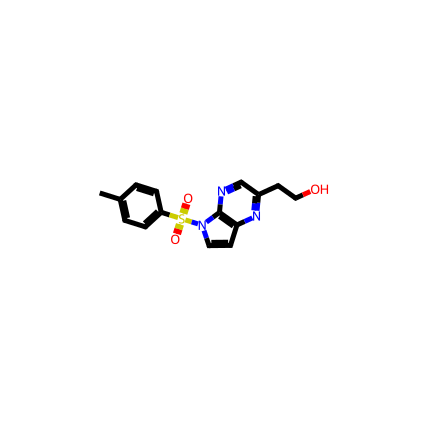 Cc1ccc(S(=O)(=O)n2ccc3nc(CCO)cnc32)cc1